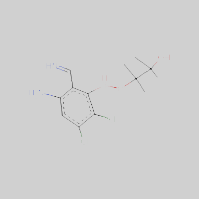 CC(C)(O)C(C)(C)OBc1c(Cl)c(Cl)cc(N)c1C=N